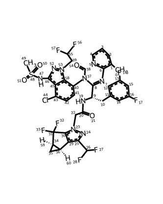 Cc1cccnc1/N=C(/[C@H](Cc1cc(F)cc(F)c1)NC(=O)Cn1nc(C(F)F)c2c1C(F)(F)[C@@H]1C[C@H]21)N(C=O)c1ccc(Cl)c2c(NS(C)(=O)=O)nn(CC(F)F)c12